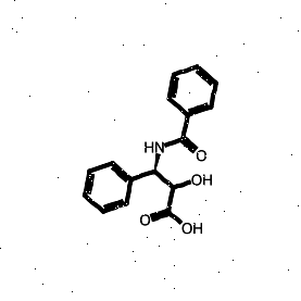 O=C(N[C@H](c1ccccc1)C(O)C(=O)O)c1ccccc1